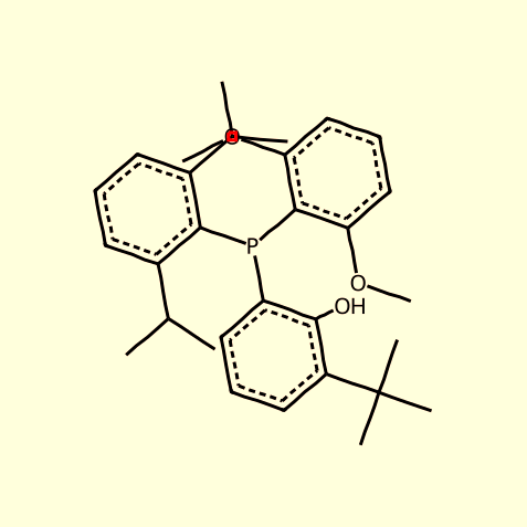 COc1cccc(OC)c1P(c1cccc(C(C)(C)C)c1O)c1c(C(C)C)cccc1C(C)C